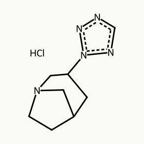 Cl.c1nnn(C2CC3CCN(C3)C2)n1